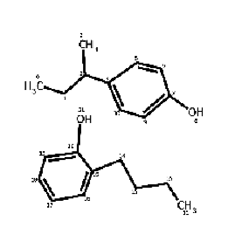 CCC(C)c1ccc(O)cc1.CCCCc1ccccc1O